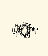 C=C1C[C@H](CCCC)OC1CC[C@H](C[C@@H](C)C(=C)[C@@H](O)C[C@@H]1OC(C[C@H](C)CC)[C@H](C)[C@H]1CS(=O)(=O)c1ccccc1)OS(C)(=O)=O